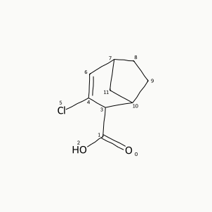 O=C(O)C1C(Cl)=CC2CCC1C2